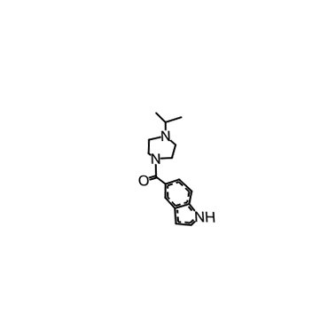 CC(C)N1CCN(C(=O)c2ccc3[nH]ccc3c2)CC1